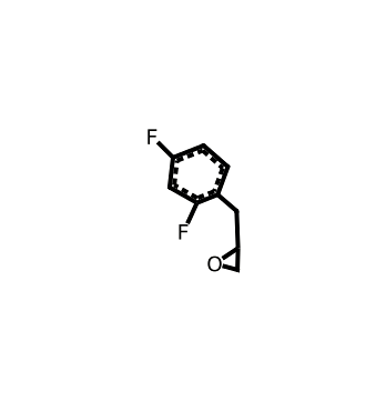 Fc1ccc(CC2CO2)c(F)c1